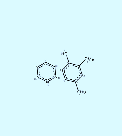 COc1cc(C=O)ccc1O.c1cnnnc1